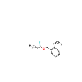 C=Cc1ccccc1COC(F)C=C